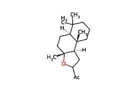 CC(=O)C1C[C@@H]2[C@@]3(C)CCCC(C)(C)[C@@H]3CC[C@@]2(C)O1